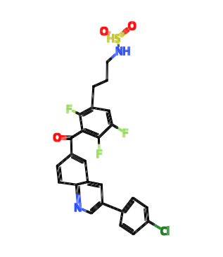 O=C(c1ccc2ncc(-c3ccc(Cl)cc3)cc2c1)c1c(F)c(F)cc(CCCN[SH](=O)=O)c1F